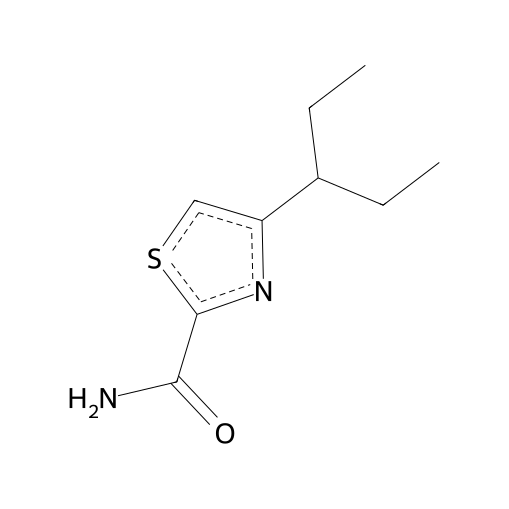 CCC(CC)c1csc(C(N)=O)n1